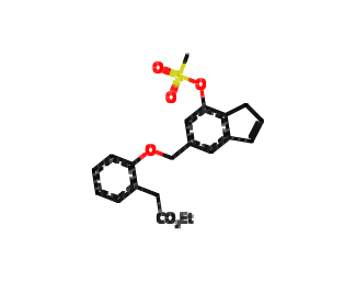 CCOC(=O)Cc1ccccc1OCc1cc2c(c(OS(C)(=O)=O)c1)CC=C2